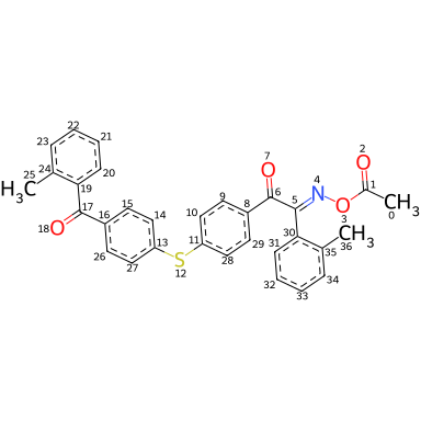 CC(=O)O/N=C(/C(=O)c1ccc(Sc2ccc(C(=O)c3ccccc3C)cc2)cc1)c1ccccc1C